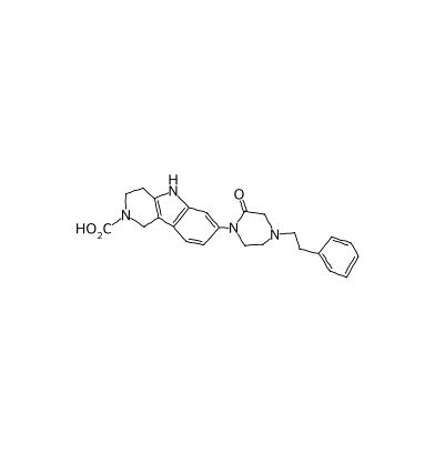 O=C(O)N1CCc2[nH]c3cc(N4CCN(CCc5ccccc5)CC4=O)ccc3c2C1